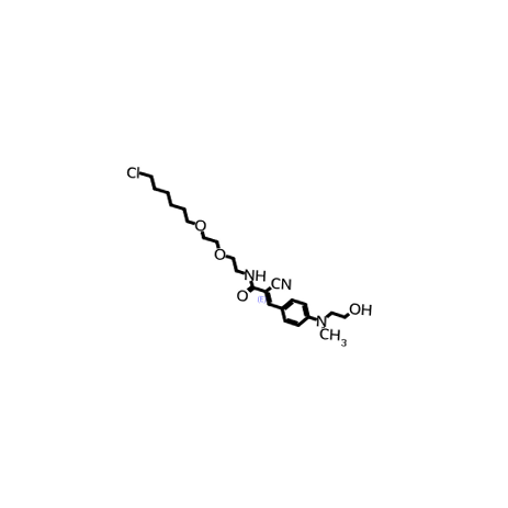 CN(CCO)c1ccc(/C=C(\C#N)C(=O)NCCOCCOCCCCCCCl)cc1